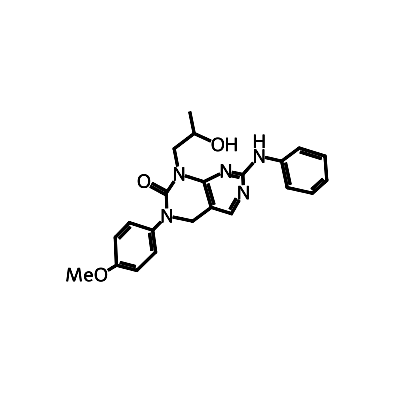 COc1ccc(N2Cc3cnc(Nc4ccccc4)nc3N(CC(C)O)C2=O)cc1